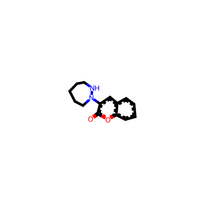 O=c1oc2ccccc2cc1N1CCCCCN1